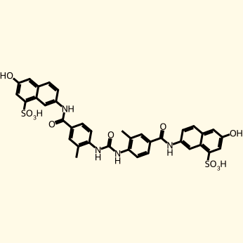 Cc1cc(C(=O)Nc2ccc3cc(O)cc(S(=O)(=O)O)c3c2)ccc1NC(=O)Nc1ccc(C(=O)Nc2ccc3cc(O)cc(S(=O)(=O)O)c3c2)cc1C